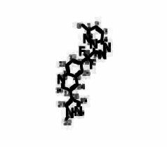 Cc1ccc2nnc(C(F)(F)c3ccc4ncc(-c5cnn(C)c5)cc4c3)n2n1